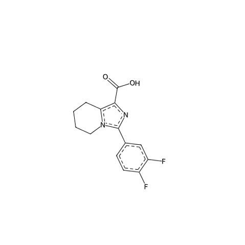 O=C(O)c1nc(-c2ccc(F)c(F)c2)n2c1CCCC2